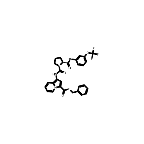 O=C(OCc1ccccc1)c1cc(NC(=O)N2CCC[C@H]2C(=O)Nc2cccc(OC(F)(F)F)c2)c2ccccn12